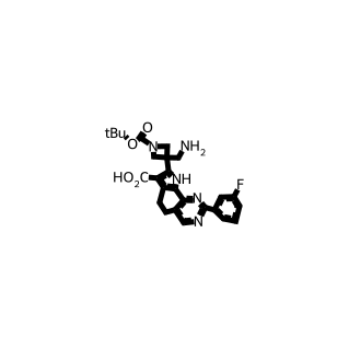 CC(C)(C)OC(=O)N1CC(CN)(c2[nH]c3c(c2C(=O)O)CCc2cnc(-c4cccc(F)c4)nc2-3)C1